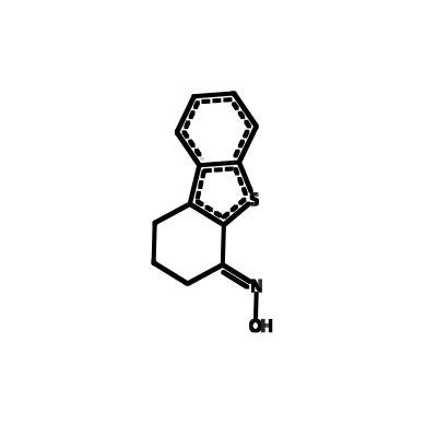 ON=C1CCCc2c1sc1ccccc21